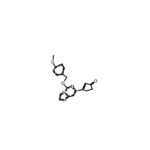 COc1ccc(COc2nc(C3=CC(=O)CC3)cc3nccn23)cc1